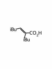 CCC(C)C=C(C(=O)O)C(C)CC